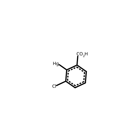 O=C(O)c1cccc(Cl)[c]1[Hg]